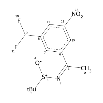 C/C(=N/[S+]([O-])C(C)(C)C)c1cc(C(F)F)cc([N+](=O)[O-])c1